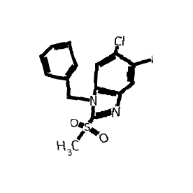 CS(=O)(=O)c1nc2cc(I)c(Cl)cc2n1Cc1ccccc1